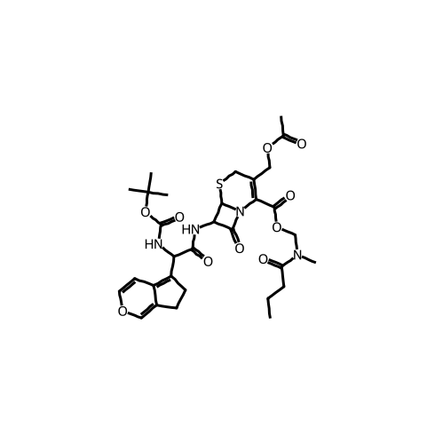 CCCC(=O)N(C)COC(=O)C1=C(COC(C)=O)CSC2C(NC(=O)C(NC(=O)OC(C)(C)C)C3=C4C=COC=C4CC3)C(=O)N12